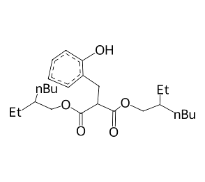 CCCCC(CC)COC(=O)C(Cc1ccccc1O)C(=O)OCC(CC)CCCC